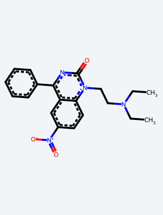 CCN(CC)CCn1c(=O)nc(-c2ccccc2)c2cc([N+](=O)[O-])ccc21